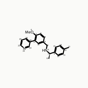 COc1ccc(CN[C@H](C)c2ccc(C)cc2)cc1-c1cccnc1